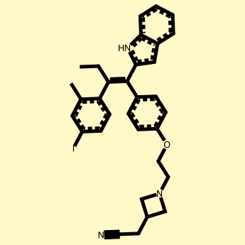 CC/C(=C(/c1ccc(OCCN2CC(CC#N)C2)cc1)c1cc2ccccc2[nH]1)c1ccc(I)cc1C